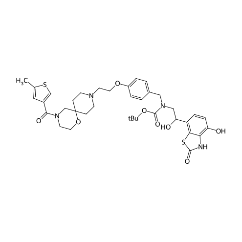 Cc1cc(C(=O)N2CCOC3(CCN(CCOc4ccc(CN(CC(O)c5ccc(O)c6[nH]c(=O)sc56)C(=O)OC(C)(C)C)cc4)CC3)C2)cs1